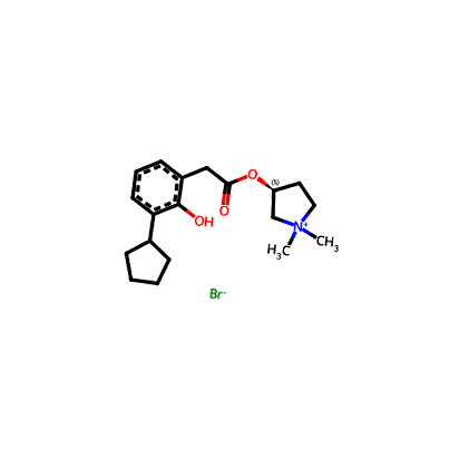 C[N+]1(C)CC[C@H](OC(=O)Cc2cccc(C3CCCC3)c2O)C1.[Br-]